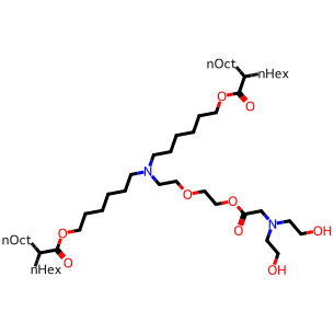 CCCCCCCCC(CCCCCC)C(=O)OCCCCCCN(CCCCCCOC(=O)C(CCCCCC)CCCCCCCC)CCOCCOC(=O)CN(CCO)CCO